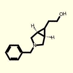 OCCC1[C@H]2CN(Cc3ccccc3)C[C@@H]12